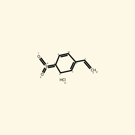 C=CC1=CCC(=S(=O)=O)C=C1.Cl